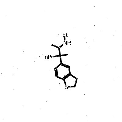 CCCC(C)(c1ccc2c(c1)CCS2)C(C)NCC